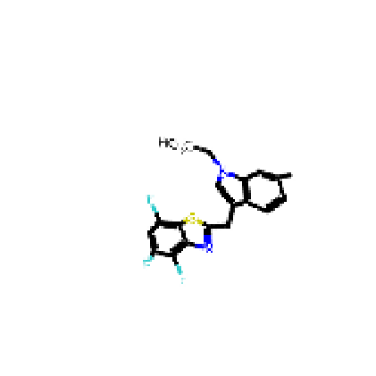 Cc1ccc2c(Cc3nc4c(F)c(F)cc(F)c4s3)cn(CC(=O)O)c2c1